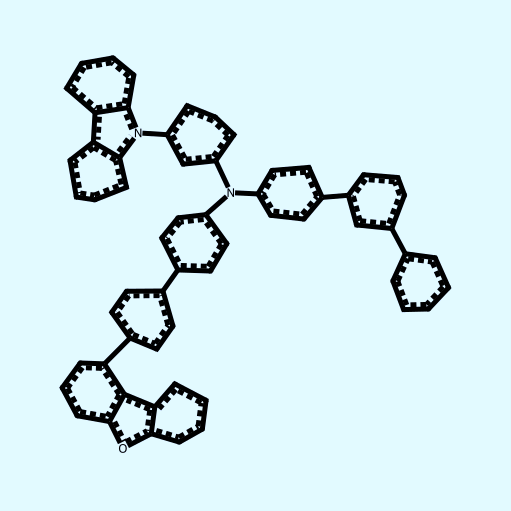 c1ccc(-c2cccc(-c3ccc(N(c4ccc(-c5ccc(-c6cccc7oc8ccccc8c67)cc5)cc4)c4cccc(-n5c6ccccc6c6ccccc65)c4)cc3)c2)cc1